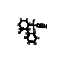 CN1CCCC(C(C)(C)O)C1c1ccccc1.Cl